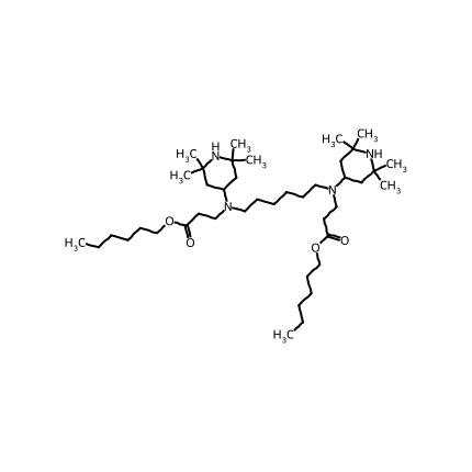 CCCCCCOC(=O)CCN(CCCCCCN(CCC(=O)OCCCCCC)C1CC(C)(C)NC(C)(C)C1)C1CC(C)(C)NC(C)(C)C1